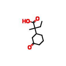 CCC(C)(C(=O)O)C1CCCC(=O)C1